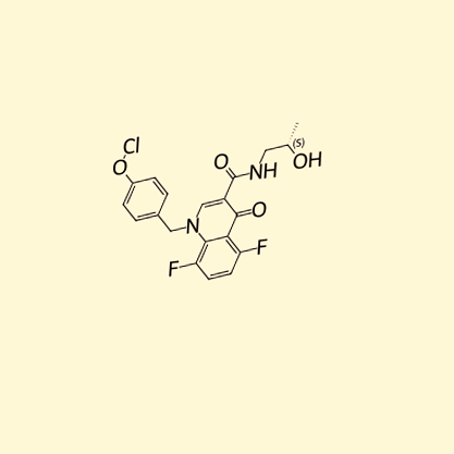 C[C@H](O)CNC(=O)c1cn(Cc2ccc(OCl)cc2)c2c(F)ccc(F)c2c1=O